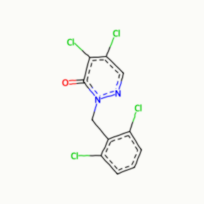 O=c1c(Cl)c(Cl)cnn1Cc1c(Cl)cccc1Cl